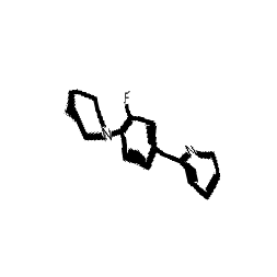 Fc1cc(-c2ccccn2)ccc1N1CCCC1